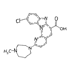 CN1CCCN(c2ccc3cc(C(=O)O)c4nc5ccc(Cl)cc5n4c3n2)CC1